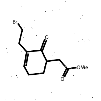 COC(=O)CC1CCC=C(CCBr)C1=O